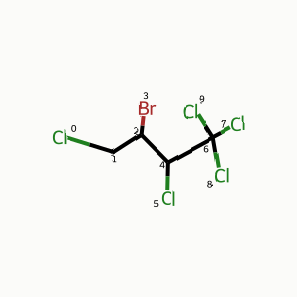 ClCC(Br)C(Cl)C(Cl)(Cl)Cl